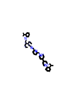 C\C=C/C(=C/C=N/c1ccccc1C(C)C)C(/C=C\C)=C/C=N/Cc1cccc(C[n+]2ccc(-c3cc[n+](-c4ccccc4C(C)C)cc3)cc2)n1